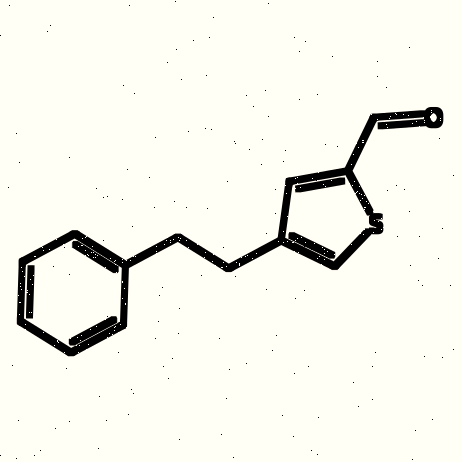 O=Cc1cc(CCc2ccccc2)cs1